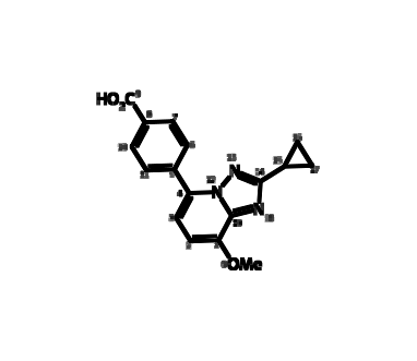 COc1ccc(-c2ccc(C(=O)O)cc2)n2nc(C3CC3)nc12